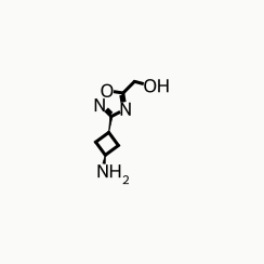 N[C@H]1C[C@@H](c2noc(CO)n2)C1